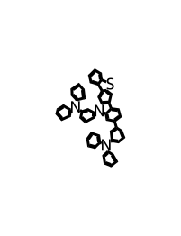 c1ccc(N(c2ccccc2)c2cccc(-c3ccc4c5cc6sc7ccccc7c6cc5n(-c5cccc(N(c6ccccc6)c6ccccc6)c5)c4c3)c2)cc1